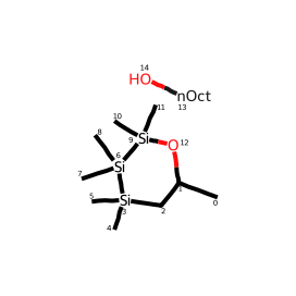 CC1C[Si](C)(C)[Si](C)(C)[Si](C)(C)O1.CCCCCCCCO